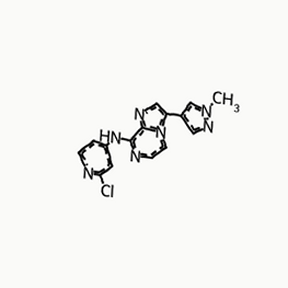 Cn1cc(-c2cnc3c(Nc4ccnc(Cl)c4)nccn23)cn1